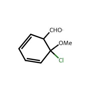 COC1(Cl)C=CC=CC1[C]=O